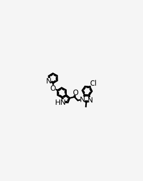 Cc1nc2cc(Cl)ccc2n1CC(=O)c1c[nH]c2cc(Oc3ccccn3)ccc12